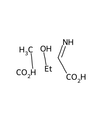 CC(=O)O.CCO.N=CC(=O)O